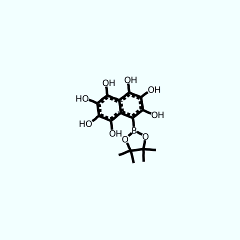 CC1(C)OB(c2c(O)c(O)c(O)c3c(O)c(O)c(O)c(O)c23)OC1(C)C